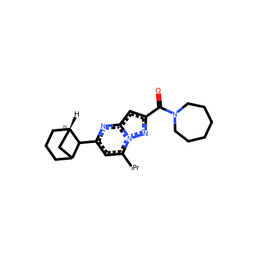 CC(C)c1cc(C2C3CCC[C@H]2C3)nc2cc(C(=O)N3CCCCCC3)nn12